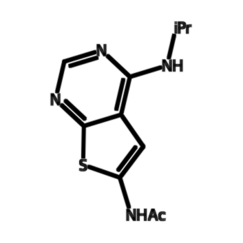 CC(=O)Nc1cc2c(NC(C)C)ncnc2s1